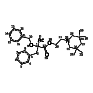 CC(=O)C(Cc1ccccc1)(OCc1ccccc1)C(=O)OCCN1CC(C)(C)CC(C)(C)C1